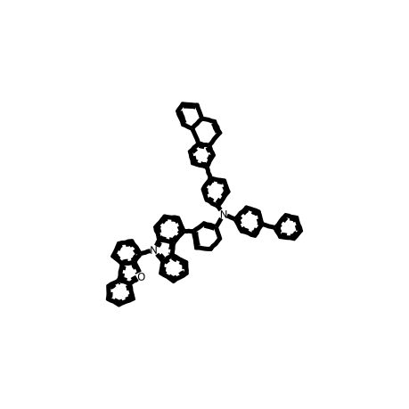 C1=CC2C=Cc3cc(-c4ccc(N(C5=CC(c6cccc7c6c6ccccc6n7-c6cccc7c6oc6ccccc67)=CCC5)c5ccc(-c6ccccc6)cc5)cc4)ccc3C2C=C1